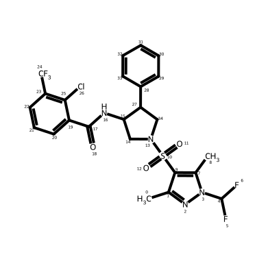 Cc1nn(C(F)F)c(C)c1S(=O)(=O)N1CC(NC(=O)c2cccc(C(F)(F)F)c2Cl)C(c2ccccc2)C1